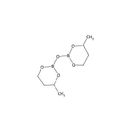 CC1CCOB(OB2OCCC(C)O2)O1